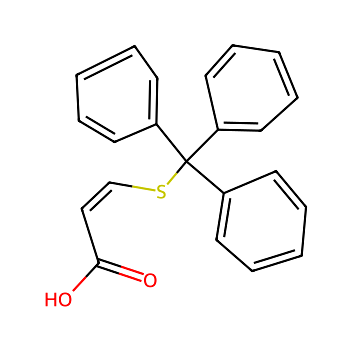 O=C(O)/C=C\SC(c1ccccc1)(c1ccccc1)c1ccccc1